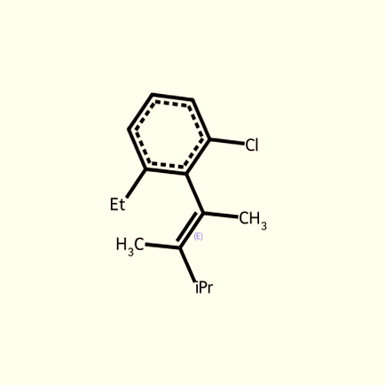 CCc1cccc(Cl)c1/C(C)=C(\C)C(C)C